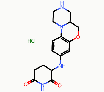 Cl.O=C1CCC(Nc2ccc3c(c2)OCC2CNCCN32)C(=O)N1